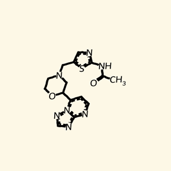 CC(=O)Nc1ncc(CN2CCOC(c3ccnc4ncnn34)C2)s1